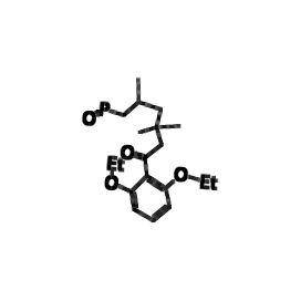 CCOc1cccc(OCC)c1C(=O)CC(C)(C)CC(C)CP=O